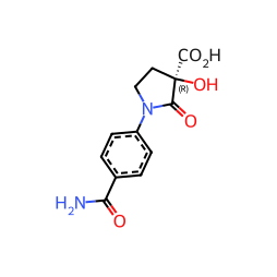 NC(=O)c1ccc(N2CC[C@](O)(C(=O)O)C2=O)cc1